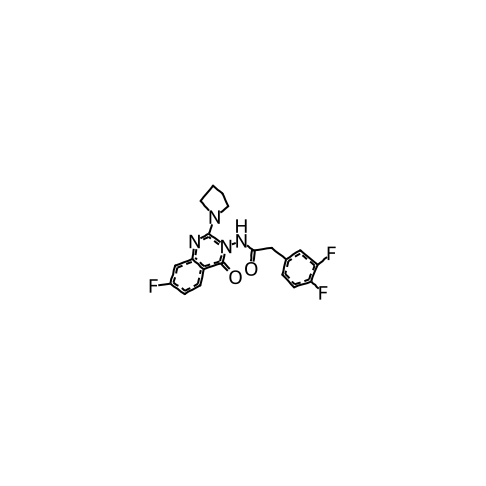 O=C(Cc1ccc(F)c(F)c1)Nn1c(N2CCCC2)nc2cc(F)ccc2c1=O